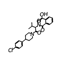 CC(C)[C@@H](NC(=O)c1ccccc1C(=O)O)C(=O)N1CCC(c2ccc(Cl)cc2)CC1